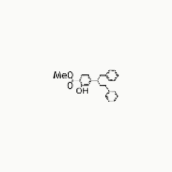 COC(=O)c1ccc(C(CCc2ccccc2)Cc2ccccc2)cc1O